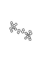 c1ccc2c(-n3c4ccc(-c5ccc(-c6ccc(-c7ccc8c(c7)c7c9ccccc9c9c%10ccccc%10sc9c7n8-c7cccc8ccccc78)c7ccccc67)c6ccccc56)cc4c4c5ccccc5c5c6ccccc6sc5c43)cccc2c1